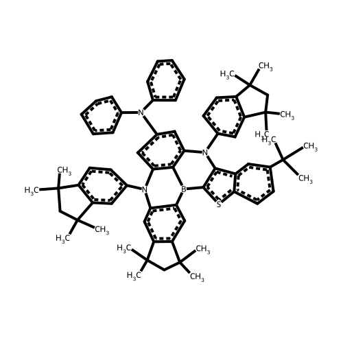 CC(C)(C)c1ccc2sc3c(c2c1)N(c1ccc2c(c1)C(C)(C)CC2(C)C)c1cc(N(c2ccccc2)c2ccccc2)cc2c1B3c1cc3c(cc1N2c1ccc2c(c1)C(C)(C)CC2(C)C)C(C)(C)CC3(C)C